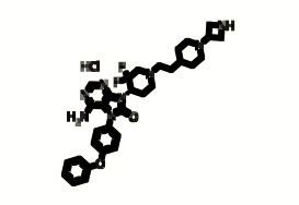 Cl.Nc1ncnc2c1n(-c1ccc(Oc3ccccc3)cc1)c(=O)n2[C@H]1CCN(CCC2CCN(C3CNC3)CC2)CC1(F)F